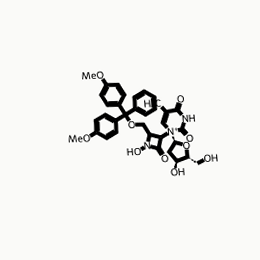 COc1ccc(C(OCC2C([N+]3([C@H]4C[C@H](O)[C@@H](CO)O4)C=C(C)C(=O)NC3=O)C(=O)N2O)(c2ccccc2)c2ccc(OC)cc2)cc1